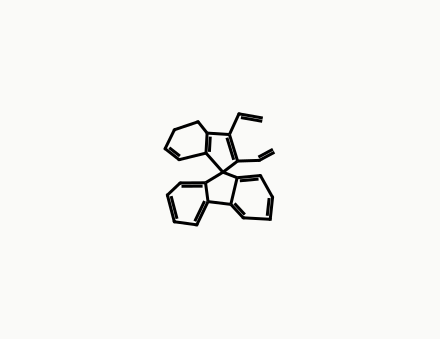 C=CC1=C(C=C)C2(C3=C1CCC=C3)c1ccccc1-c1ccccc12